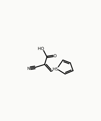 N#CC(=C[SH]1C=CC=C1)C(=O)O